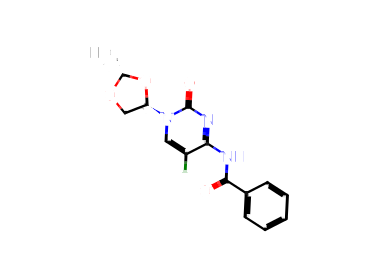 [CH2][C@H]1OC[C@H](n2cc(F)c(NC(=O)c3ccccc3)nc2=O)O1